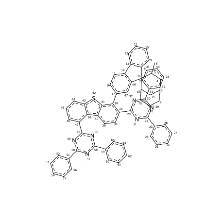 CC1CC2CC(C)C3(c4ccccc4-c4ccc(-c5c(-c6nc(-c7ccccc7)nc(-c7ccccc7)n6)ccc6c5sc5cccc(-c7nc(-c8ccccc8)nc(-c8ccccc8)n7)c56)cc43)C(C1)C2